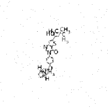 CN1[C@@H]2CC[C@H]1C[C@@H](Oc1ccc(-n3cnc4cc(C(O)CC(C)(C)C)sc4c3=O)cc1)C2